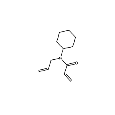 C=CCN(C(=O)C=C)C1CCCCC1